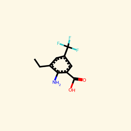 CCc1cc(C(F)(F)F)cc(C(=O)O)c1N